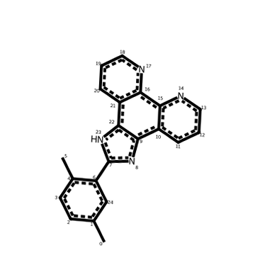 Cc1ccc(C)c(-c2nc3c4cccnc4c4ncccc4c3[nH]2)c1